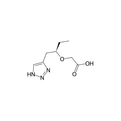 CC[C@H](Cc1c[nH]nn1)OCC(=O)O